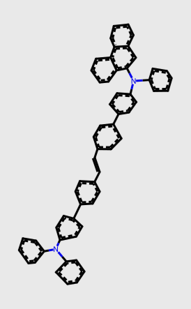 C(=C\c1ccc(-c2ccc(N(c3ccccc3)c3cc4ccccc4c4ccccc34)cc2)cc1)/c1ccc(-c2ccc(N(c3ccccc3)c3ccccc3)cc2)cc1